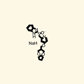 [NaH].[O-][S+](Cc1cc(OCC2COC3(CCCC3)OC2)ccn1)c1nc2ccccc2[nH]1